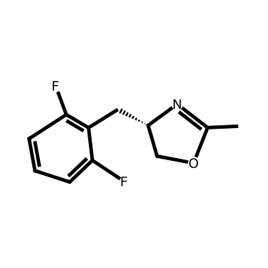 CC1=N[C@@H](Cc2c(F)cccc2F)CO1